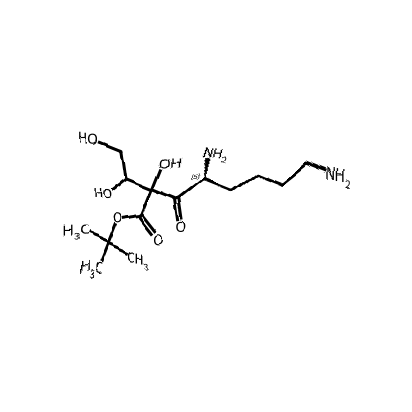 CC(C)(C)OC(=O)C(O)(C(=O)[C@@H](N)CCCCN)C(O)CO